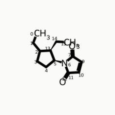 CCC1CC[C@H](N2C(=O)C=CC2=O)[C@@H]1CC